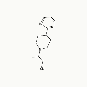 CC(CC#N)N1CCC(c2ccccn2)CC1